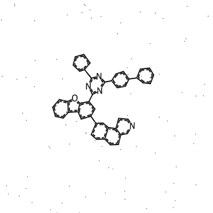 c1ccc(-c2ccc(-c3nc(-c4ccccc4)nc(-c4cc(-c5ccc6ccc7cnccc7c6c5)cc5c4oc4ccccc45)n3)cc2)cc1